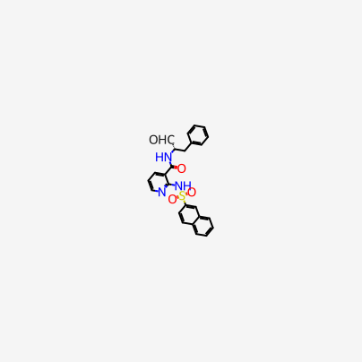 O=C[C@H](Cc1ccccc1)NC(=O)c1cccnc1NS(=O)(=O)c1ccc2ccccc2c1